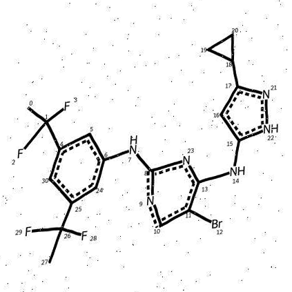 CC(F)(F)c1cc(Nc2ncc(Br)c(Nc3cc(C4CC4)n[nH]3)n2)cc(C(C)(F)F)c1